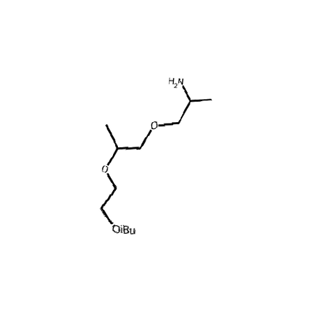 CC(C)COCCOC(C)COCC(C)N